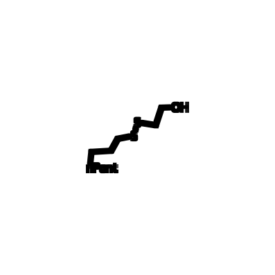 CCCCCCCCSSCCO